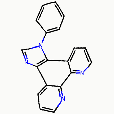 c1ccc(-n2cnc3c4cccnc4c4ncccc4c32)cc1